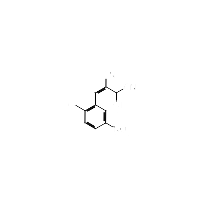 N#C/C(=C/c1cc([N+](=O)[O-])ccc1Cl)C(O)C#N